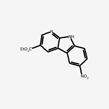 CCOC(=O)c1cnc2[nH]c3ccc([N+](=O)[O-])cc3c2c1